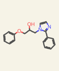 OC(COc1ccccc1)Cn1ccnc1-c1ccccc1